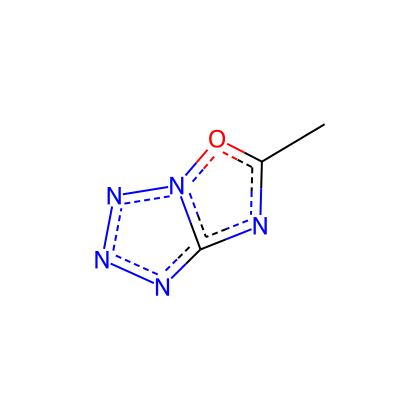 Cc1nc2nnnn2o1